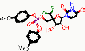 COc1ccc(OP(=O)(OC[C@@]2(C(F)F)O[C@@H](n3ccc(=O)[nH]c3=O)[C@H](O)[C@@H]2O)Oc2ccc(OC)cc2)cc1